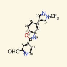 O=Cc1cc(-c2nc3cc(-c4cnn(C(F)(F)F)c4)ccc3o2)ccn1